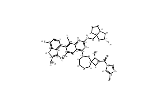 CC(C)[C@H]1N(C(=O)n2cnc(F)n2)C[C@]12CCCCN(c1nc(OC[C@@]34CCCN3C[C@H](F)C4)nc3c(F)c(-c4ccc(F)c5sc(N)c(C#N)c45)c(Cl)cc13)C2